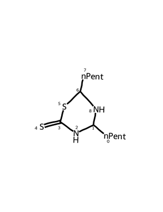 CCCCCC1NC(=S)SC(CCCCC)N1